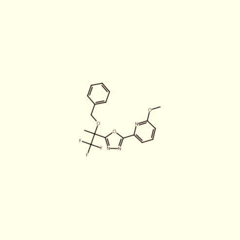 COc1cccc(-c2nnc(C(C)(OCc3ccccc3)C(F)(F)F)o2)n1